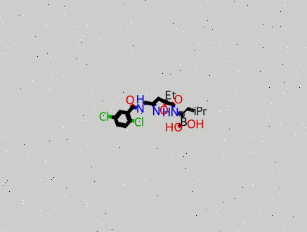 CCC1(C(=O)N[C@@H](CC(C)C)B(O)O)CC(CNC(=O)c2cc(Cl)ccc2Cl)=NO1